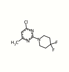 Cc1cc(Cl)nc(N2CCC(F)(F)CC2)n1